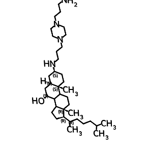 CC(C)CCC[C@@H](C)[C@H]1CCC2C3C(CC[C@@]21C)[C@@]1(C)CC[C@H](NCCCN2CCN(CCCN)CC2)C[C@@H]1C[C@@H]3O